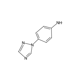 [NH]c1ccc(-n2cncn2)cc1